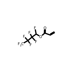 C=CC(=O)OC(F)C(F)(F)C(F)(F)C(F)(F)F